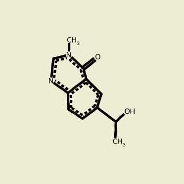 CC(O)c1ccc2ncn(C)c(=O)c2c1